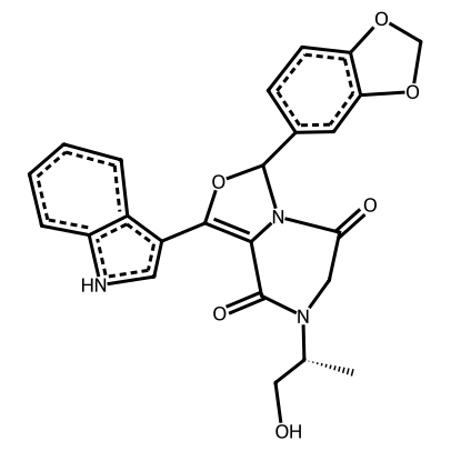 C[C@H](CO)N1CC(=O)N2C(=C(c3c[nH]c4ccccc34)OC2c2ccc3c(c2)OCO3)C1=O